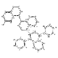 Cc1ccc2cccc(-c3ccc4c5c(cccc35)-c3c-4c(-c4ccccc4)c4ccccc4c3-c3ccccc3)c2n1